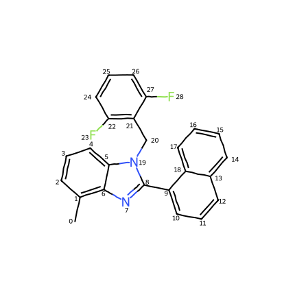 Cc1cccc2c1nc(-c1cccc3ccccc13)n2Cc1c(F)cccc1F